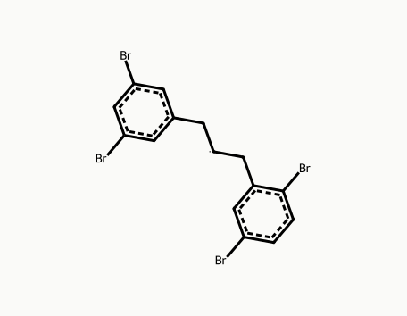 Brc1cc(Br)cc(C[CH]Cc2cc(Br)ccc2Br)c1